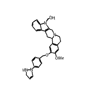 COc1cc2c(cc1OCc1ccc(N3C=CCN3)cc1)C1Cc3c(n(CO)c4ccccc34)CN1CC2